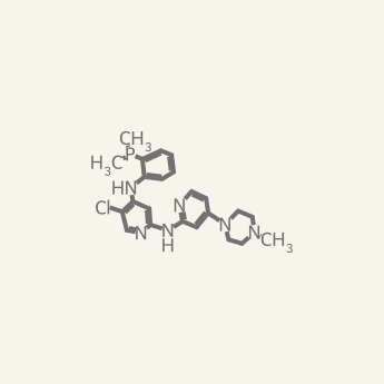 CN1CCN(c2ccnc(Nc3cc(Nc4ccccc4P(C)C)c(Cl)cn3)c2)CC1